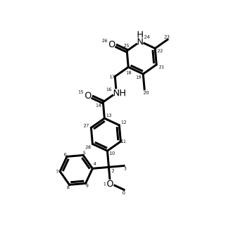 COC(C)(c1ccccc1)c1ccc(C(=O)NCc2c(C)cc(C)[nH]c2=O)cc1